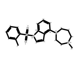 Cc1ccccc1S(=O)(=O)n1ccc2c(N3CCCN(C)CC3)cccc21